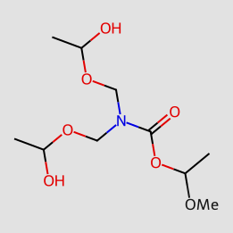 COC(C)OC(=O)N(COC(C)O)COC(C)O